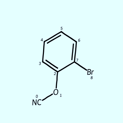 N#COc1ccccc1Br